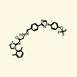 Cc1cccc(C)c1N1CCS/C1=N\C(=O)CN/N=C/c1ccc(-c2ncn(-c3ccc(OC(F)(F)F)cc3)n2)cc1